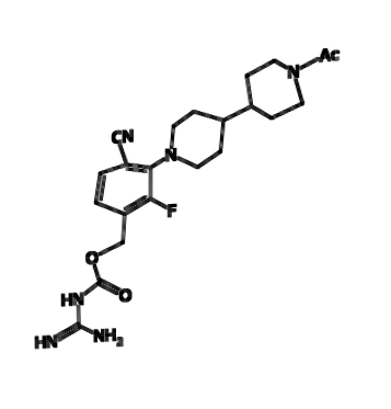 CC(=O)N1CCC(C2CCN(c3c(C#N)ccc(COC(=O)NC(=N)N)c3F)CC2)CC1